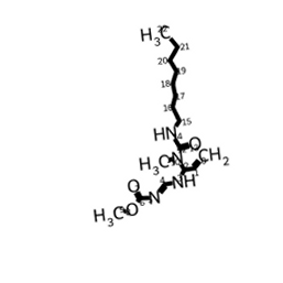 C=CC(NC=NC(=O)OC)N(C)C(=O)NCCCCCCCC